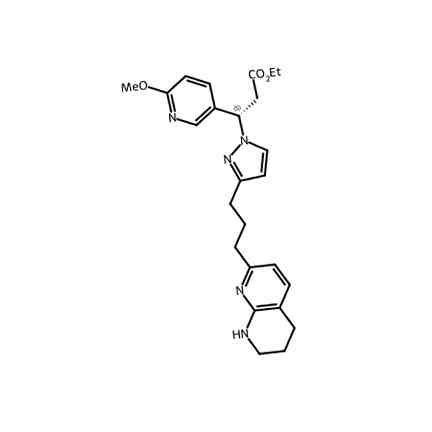 CCOC(=O)C[C@@H](c1ccc(OC)nc1)n1ccc(CCCc2ccc3c(n2)NCCC3)n1